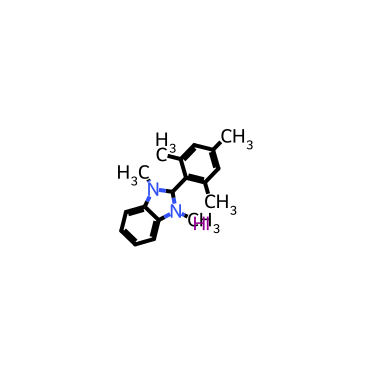 Cc1cc(C)c(C2N(C)c3ccccc3N2C)c(C)c1.I